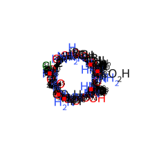 CCCC[C@H]1C(=O)N(C)[C@@H](CCCC)C(=O)N[C@@H](CC(C)C)C(=O)N[C@H](C(N)=O)CCCC(=O)N[C@@H](Cc2ccc(Cl)cc2)C(=O)N2CCCC[C@@]23C(=O)N3[C@@H](CC(=O)O)C(=O)N2CCC[C@H]2C(=O)N[C@@H](CN)C(=O)N[C@@H](CC(C)C)C(=O)N2C[C@H](O)C[C@H]2C(=O)N[C@@H](Cc2c[nH]c3ccccc23)C(=O)N[C@@H](CCN)C(=O)N[C@@H](Cc2cn(CC(=O)O)c3ccccc23)C(=O)N1C